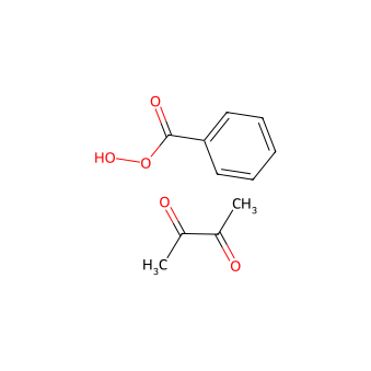 CC(=O)C(C)=O.O=C(OO)c1ccccc1